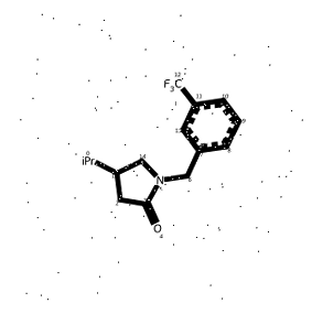 CC(C)C1CC(=O)N(Cc2cccc(C(F)(F)F)c2)C1